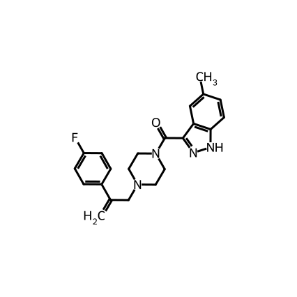 C=C(CN1CCN(C(=O)c2n[nH]c3ccc(C)cc23)CC1)c1ccc(F)cc1